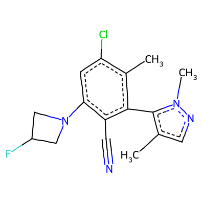 Cc1cnn(C)c1-c1c(C)c(Cl)cc(N2CC(F)C2)c1C#N